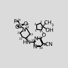 C[C@]1(O)CCC[C@H]1Oc1nc(NC2CCN(S(=O)(=O)CF)CC2)ncc1C#N